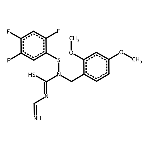 COc1ccc(CN(Sc2cc(F)c(F)cc2F)/C(S)=N/C=N)c(OC)c1